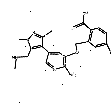 CNCc1c(-c2cnc(N)c(OCc3cc(F)ccc3C(=O)O)c2)c(C)nn1C